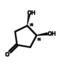 O=C1C[C@H](O)[C@@H](O)C1